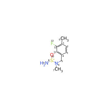 Cc1ccc(CN(C)[S+](N)[O-])cc1F